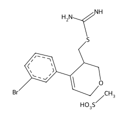 CS(=O)(=O)O.N=C(N)SCC1COCC=C1c1cccc(Br)c1